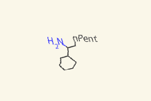 CCCCCCC(N)C1CCCCC1